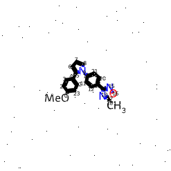 COc1ccc(-c2cccn2-c2ccc(-c3noc(C)n3)cc2)cc1